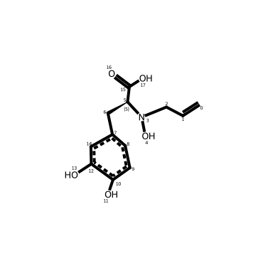 C=CCN(O)[C@@H](Cc1ccc(O)c(O)c1)C(=O)O